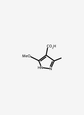 COc1[nH]nc(C)c1C(=O)O